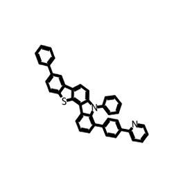 c1ccc(-c2ccc3sc4c(ccc5c4c4cccc(-c6ccc(-c7ccccn7)cc6)c4n5-c4ccccc4)c3c2)cc1